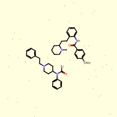 CCC(=O)N(c1ccccc1)C1CCN(CCc2ccccc2)CC1.COc1ccc(C(=O)Nc2ccccc2CCC2CCCCN2C)cc1